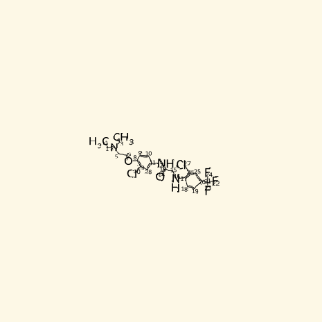 CCN(CC)CCOc1ccc(NC(=O)CNc2ccc(C(F)(F)F)cc2Cl)cc1Cl